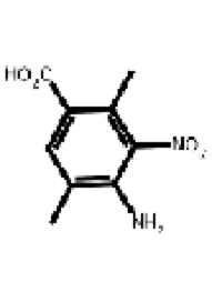 Cc1cc(C(=O)O)c(C)c([N+](=O)[O-])c1N